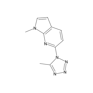 Cc1nnnn1-c1ccc2ccn(C)c2n1